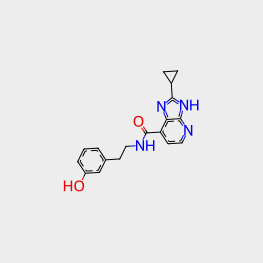 O=C(NCCc1cccc(O)c1)c1ccnc2[nH]c(C3CC3)nc12